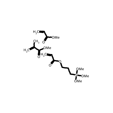 C=C(C)C(=O)OC.C=CC(=O)OC.C=CC(=O)OCCC[Si](OC)(OC)OC